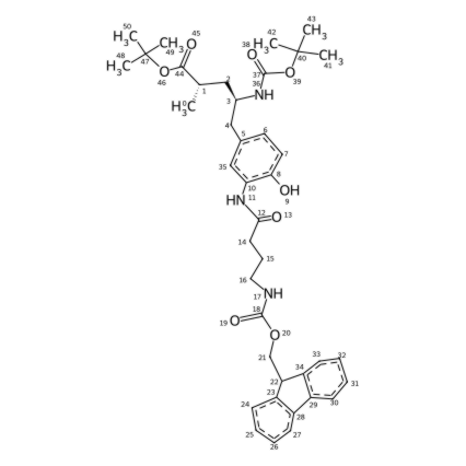 C[C@@H](C[C@H](Cc1ccc(O)c(NC(=O)CCCNC(=O)OCC2c3ccccc3-c3ccccc32)c1)NC(=O)OC(C)(C)C)C(=O)OC(C)(C)C